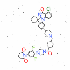 O=C(C1CCC(CN2CCC(c3ccc4c(c3)-n3c(nc(=O)c5c(Cl)cccc53)C43CCCCC3)CC2)CC1)N1CCN(c2c(F)cc(N3C(=O)CCCC3=O)cc2F)CC1